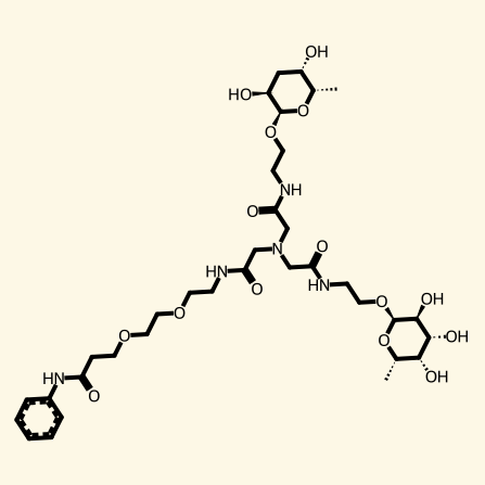 C[C@@H]1O[C@@H](OCCNC(=O)CN(CC(=O)NCCOCCOCCC(=O)Nc2ccccc2)CC(=O)NCCO[C@@H]2O[C@@H](C)[C@@H](O)C[C@@H]2O)[C@@H](O)[C@H](O)[C@@H]1O